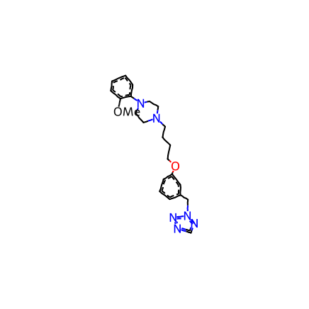 COc1ccccc1N1CCN(CCCCOc2cccc(Cn3ncnn3)c2)CC1